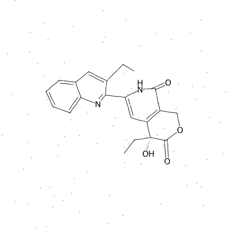 CCc1cc2ccccc2nc1-c1cc2c(c(=O)[nH]1)COC(=O)[C@@]2(O)CC